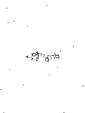 O=C(O)c1ccc2nc(CN3CCC(c4cccc5c4OC(Cc4nc6ccccc6s4)O5)CC3)n(C[C@@H]3CCO3)c2c1